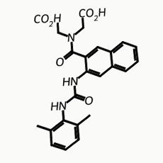 Cc1cccc(C)c1NC(=O)Nc1cc2ccccc2cc1C(=O)N(CC(=O)O)CC(=O)O